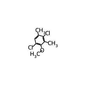 COc1c(Cl)cc(C)c(Cl)c1C